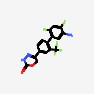 Nc1cc(-c2ccc(C3=NNC(=O)OC3)cc2C(F)(F)F)c(F)cc1F